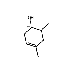 CC1=CC[C@H](O)C(C)C1